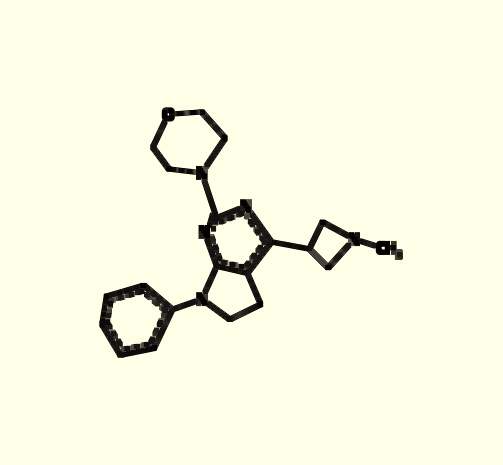 CN1CC(c2nc(N3CCOCC3)nc3c2CCN3c2ccccc2)C1